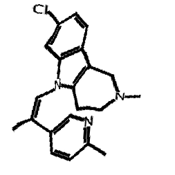 C/C(=C/n1c2c(c3ccc(Cl)cc31)CN(C)CC2)c1ccc(C)nc1